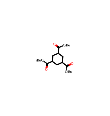 CC(C)COC(=O)C1CC(C(=O)OCC(C)C)CC(C(=O)OCC(C)C)C1